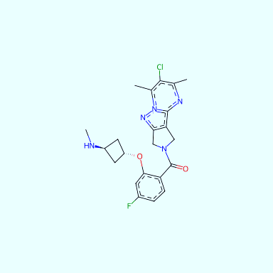 CN[C@H]1C[C@H](Oc2cc(F)ccc2C(=O)N2Cc3nn4c(C)c(Cl)c(C)nc4c3C2)C1